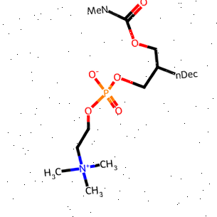 CCCCCCCCCCC(COC(=O)NC)COP(=O)([O-])OCC[N+](C)(C)C